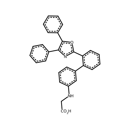 O=C(O)CNc1cccc(-c2ccccc2-c2nc(-c3ccccc3)c(-c3ccccc3)o2)c1